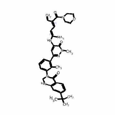 C=C/C(=C\C=C(/N)Nc1cc(-c2cccc(N3CNc4cc(C(C)(C)C)ccc4C3=O)c2C)nn(C)c1=O)C(=O)N1CCOCC1